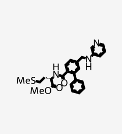 COC(=O)[C@H](CCSC)NC(=O)c1ccc(CNc2cccnc2)cc1-c1ccccc1